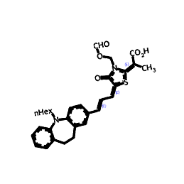 CCCCCCN1c2ccccc2CCc2cc(/C=C/C=c3/s/c(=C(\C)C(=O)O)n(COC=O)c3=O)ccc21